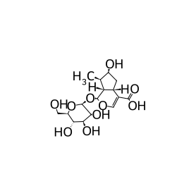 C[C@@H]1[C@H]2[C@H](O[C@@H]3O[C@H](CO)[C@@H](O)[C@H](O)[C@H]3O)OC=C(C(=O)O)[C@H]2C[C@@H]1O